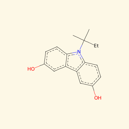 CCC(C)(C)n1c2ccc(O)cc2c2cc(O)ccc21